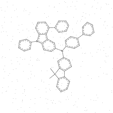 CC1(C)c2ccccc2-c2ccc(N(c3ccc(-c4ccccc4)cc3)c3ccc4c(c3)c3c(-c5ccccc5)cccc3n4-c3ccccc3)cc21